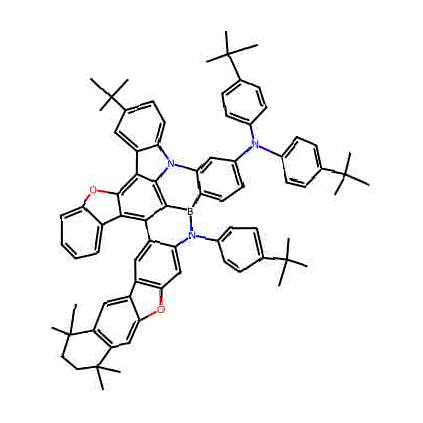 CC(C)(C)c1ccc(N2B3c4ccc(N(c5ccc(C(C)(C)C)cc5)c5ccc(C(C)(C)C)cc5)cc4-n4c5ccc(C(C)(C)C)cc5c5c6oc7ccccc7c6c(c3c54)-c3cc4c(cc32)oc2cc3c(cc24)C(C)(C)CCC3(C)C)cc1